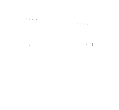 COc1cc(OC)c(C(O)c2cccc(Cl)c2F)cc1C(=O)O